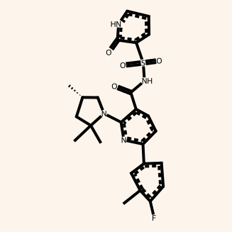 Cc1cc(-c2ccc(C(=O)NS(=O)(=O)c3ccc[nH]c3=O)c(N3C[C@@H](C)CC3(C)C)n2)ccc1F